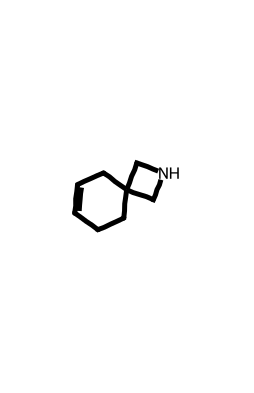 C1=CCC2(CC1)CNC2